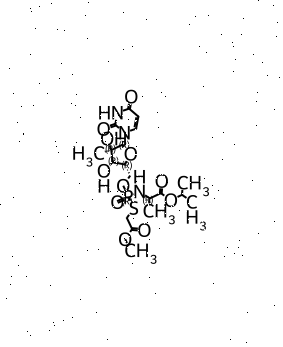 COC(=O)CS[P@@](=O)(N[C@H](C)C(=O)OC(C)C)OC[C@H]1O[C@@H](n2ccc(=O)[nH]c2=O)[C@](C)(O)[C@@H]1O